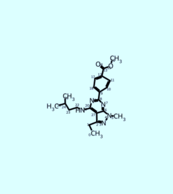 CCc1nn(C)c2nc(-c3ccc(C(=O)OC)cc3)nc(NCCC(C)C)c12